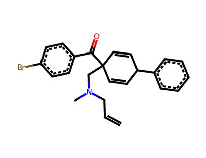 C=CCN(C)CC1(C(=O)c2ccc(Br)cc2)C=CC(c2ccccc2)C=C1